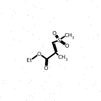 CCOC(=O)C(C)=CS(C)(=O)=O